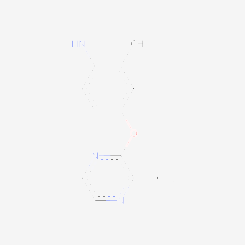 Cc1cc(Oc2nccnc2C)ccc1[NH]